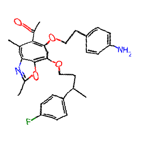 CC(=O)c1c(OCCc2ccc(N)cc2)c(OCCC(C)c2ccc(F)cc2)c2oc(C)nc2c1C